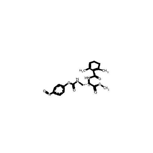 COC(=O)[C@H](CNC(=O)Oc1ccc(N=O)cc1)NC(=O)C1=C(C)CCC=C1C